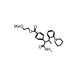 COCCOC(=O)c1ccc(C(C(N)=O)C(C)c2ccccc2N2CCCCC2)cc1